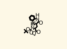 COC(=O)C(CC1C(=O)Nc2ccccc2N1C)NC(=O)OC(C)(C)C